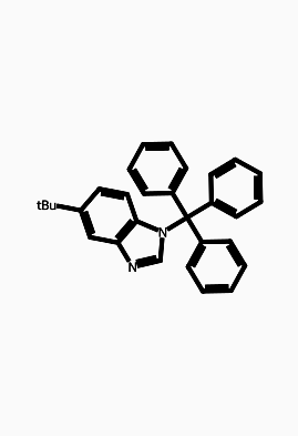 CC(C)(C)c1ccc2c(c1)ncn2C(c1ccccc1)(c1ccccc1)c1ccccc1